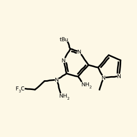 Cn1nccc1-c1nc(C(C)(C)C)nc(N(N)CCC(F)(F)F)c1N